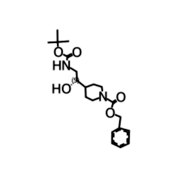 CC(C)(C)OC(=O)NC[C@@H](O)C1CCN(C(=O)OCc2ccccc2)CC1